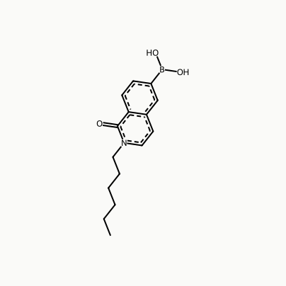 CCCCCCn1ccc2cc(B(O)O)ccc2c1=O